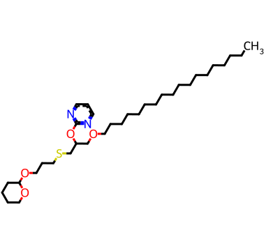 CCCCCCCCCCCCCCCCCCOCC(CSCCCOC1CCCCO1)Oc1ncccn1